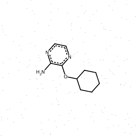 Nc1nccnc1OC1CCCCC1